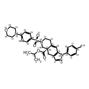 CC(C)OC(=O)[C@]12Cc3cnn(-c4ccc(F)cc4)c3C=C1CCN(S(=O)(=O)c1ccc(N3CCOCC3)nc1)C2